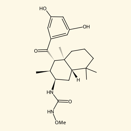 CONC(=O)N[C@@H]1C[C@H]2C(C)(C)CCC[C@]2(C)[C@@H](C(=O)c2cc(O)cc(O)c2)[C@@H]1C